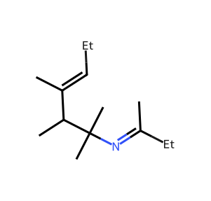 CC/C=C(\C)C(C)C(C)(C)/N=C(\C)CC